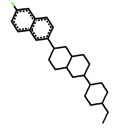 CCC1CCC(C2CCC3CC(c4ccc5cc(F)ccc5c4)CCC3C2)CC1